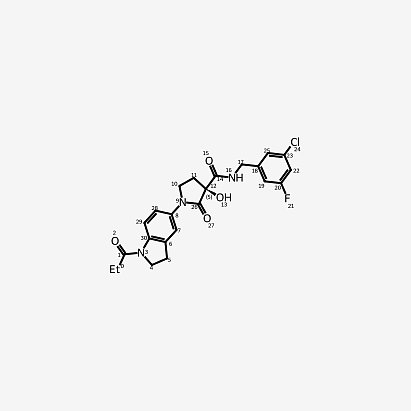 CCC(=O)N1CCc2cc(N3CC[C@](O)(C(=O)NCc4cc(F)cc(Cl)c4)C3=O)ccc21